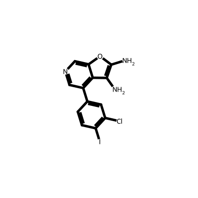 Nc1oc2cncc(-c3ccc(I)c(Cl)c3)c2c1N